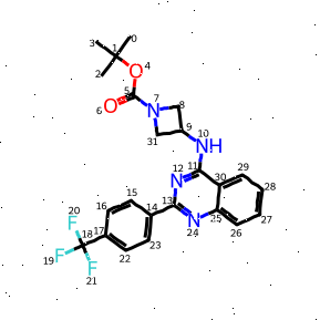 CC(C)(C)OC(=O)N1CC(Nc2nc(-c3ccc(C(F)(F)F)cc3)nc3ccccc23)C1